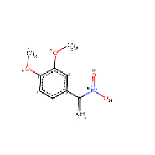 C=C(c1ccc(OC)c(OC)c1)[N+](=O)[O-]